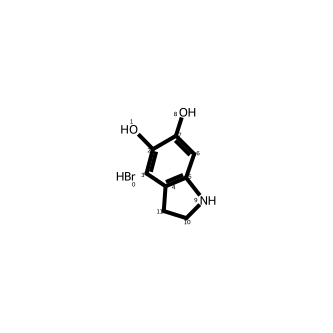 Br.Oc1cc2c(cc1O)NCC2